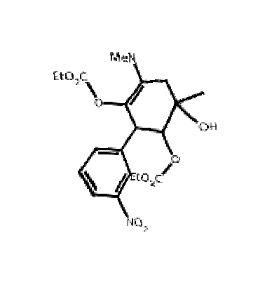 CCOC(=O)OC1=C(NC)CC(C)(O)C(OC(=O)OCC)C1c1cccc([N+](=O)[O-])c1